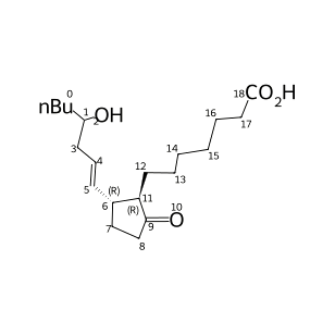 CCCCC(O)CC=C[C@H]1CCC(=O)[C@@H]1CCCCCCC(=O)O